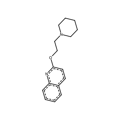 c1ccc2nc(OCCN3CCCCC3)ccc2c1